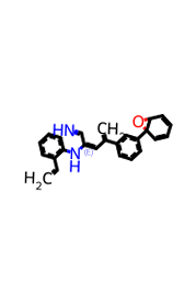 C=Cc1ccccc1N/C(C=N)=C/C(=C)c1cccc(C23C=CC=CC2O3)c1